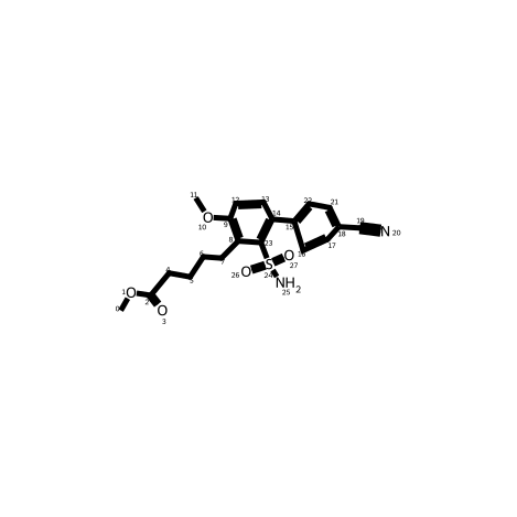 COC(=O)CCCCc1c(OC)ccc(-c2ccc(C#N)cc2)c1S(N)(=O)=O